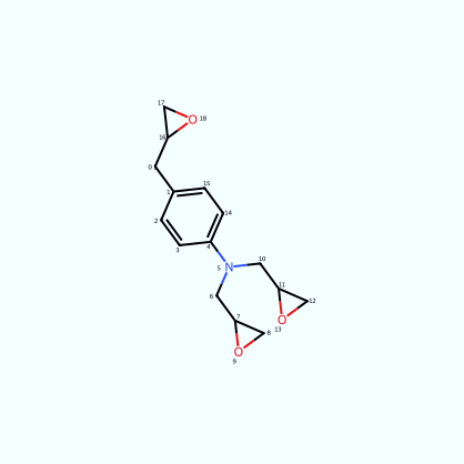 [CH](c1ccc(N(CC2CO2)CC2CO2)cc1)C1CO1